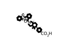 CN1c2ccccc2NC1c1ccccc1C(=O)N1CCC2C(C)(C)[C@@H](c3ccc(C(=O)O)cc3)CC[C@]2(C)C1